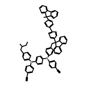 C#Cc1ccc(N(c2ccc(CC(C)CC)cc2)c2ccc(N(c3ccc(C#C)cc3)c3ccc(CC4(c5ccc(-c6ccc(C7(C)c8ccccc8-c8ccccc87)cc6)cc5)c5ccccc5-c5ccccc54)cc3)cc2)cc1